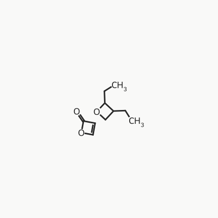 CCC1COC1CC.O=C1C=CO1